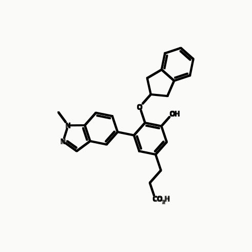 Cn1ncc2cc(-c3cc(CCC(=O)O)cc(O)c3OC3Cc4ccccc4C3)ccc21